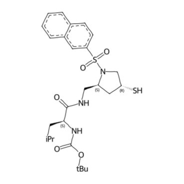 CC(C)C[C@H](NC(=O)OC(C)(C)C)C(=O)NC[C@@H]1C[C@@H](S)CN1S(=O)(=O)c1ccc2ccccc2c1